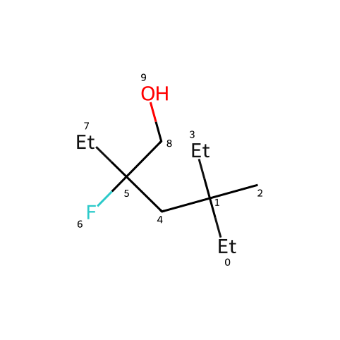 CCC(C)(CC)CC(F)(CC)CO